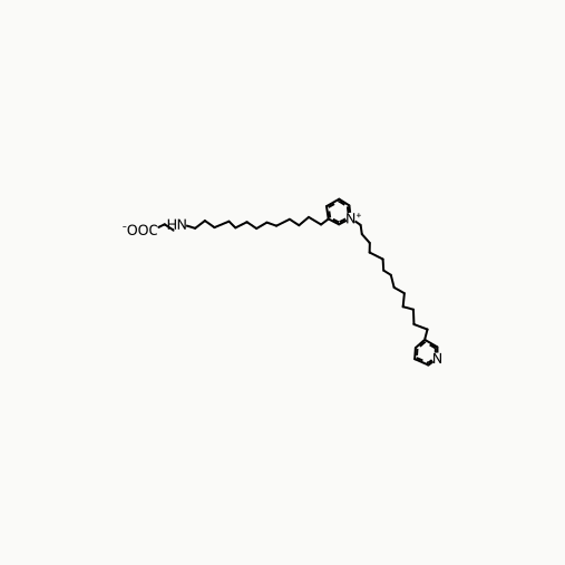 O=C([O-])CCNCCCCCCCCCCCCCc1ccc[n+](CCCCCCCCCCCCCc2cccnc2)c1